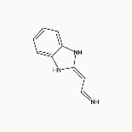 N=CC=C1Nc2ccccc2N1